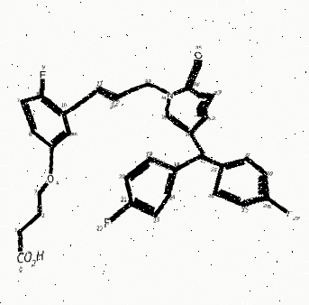 O=C(O)CCCOc1ccc(F)c(CCCn2cc(C(c3ccc(F)cc3)c3ccc(F)cc3)ccc2=O)c1